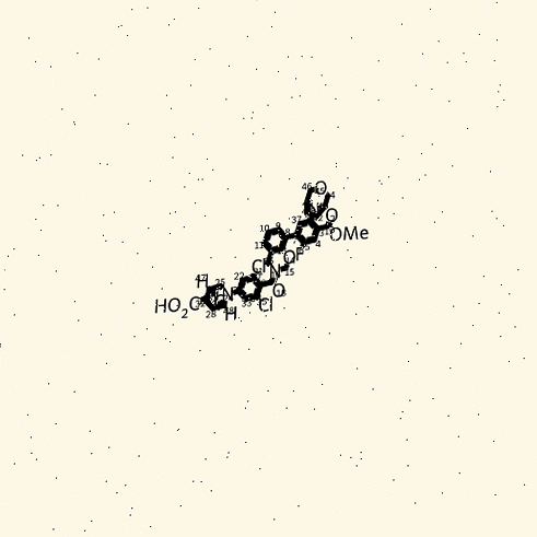 COC(=O)c1cc(F)c(-c2cccc3c2OCN(C(=O)c2c(Cl)cc(N4C[C@H]5CC[C@@H]4CN5C(=O)O)cc2Cl)C3)cc1N1C2CCC1COC2